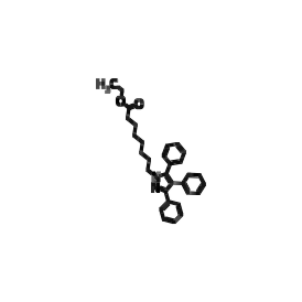 CCOC(=O)CCCCCCCn1nc(-c2ccccc2)c(-c2ccccc2)c1-c1ccccc1